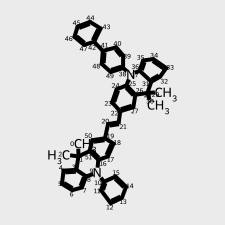 CC1(C)c2ccccc2N(c2ccccc2)c2ccc(/C=C/c3ccc4c(c3)C(C)(C)c3ccccc3N4c3ccc(-c4ccccc4)cc3)cc21